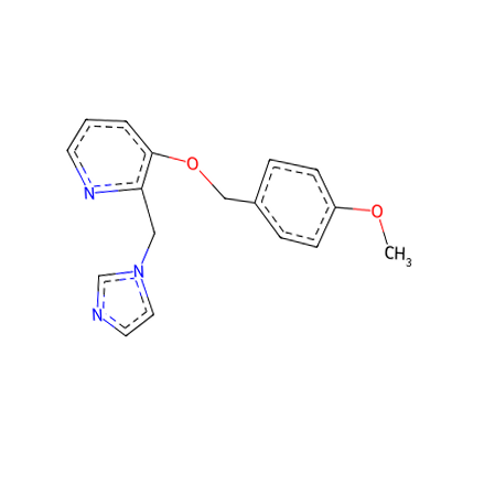 COc1ccc(COc2cccnc2Cn2ccnc2)cc1